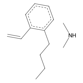 C=Cc1ccccc1CCCC.CNC